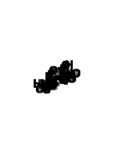 O=C=Nc1c(Cc2ccc3oc(=O)[nH]c3c2N=C=O)ccc2oc(=O)[nH]c12